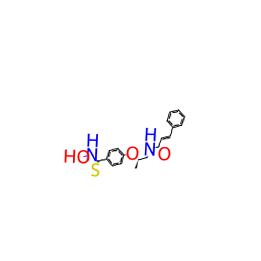 C[C@H](CNC(=O)/C=C/c1ccccc1)Oc1ccc(C(=S)NO)cc1